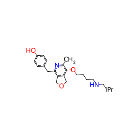 Cc1nc(Cc2ccc(O)cc2)c2c(c1OCCCCNCC(C)C)COC2